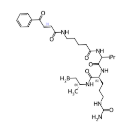 BC[C@@H](C)NC(=O)[C@H](CCCNC(N)=O)NC(=O)C(NC(=O)CCCCNC(=O)/C=C/C(=O)c1ccccc1)C(C)C